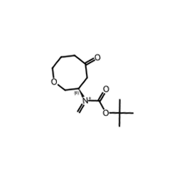 C=[N+](C(=O)OC(C)(C)C)[C@H]1COCCCC(=O)C1